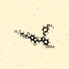 C=CCNC(=O)Nc1ccc2c(c1)C(=O)C(=Cc1cn(CCN3CCN(C)CC3)c3ccc(OC)cc13)O2